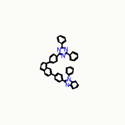 c1ccc(-c2nc(-c3ccccc3)nc(-c3ccc(-c4cccc5ccc(-c6ccc(-c7nc8ccccc8n7-c7ccccc7)cc6)cc45)cc3)n2)cc1